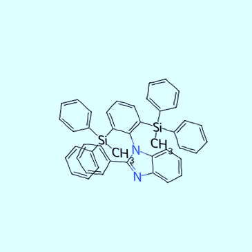 C[Si](c1ccccc1)(c1ccccc1)c1cccc([Si](C)(c2ccccc2)c2ccccc2)c1-n1c(-c2ccccc2)nc2ccccc21